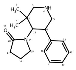 CC1(C)CNCC(c2ccccc2)C1N1CCCC1=O